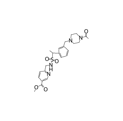 COC(=O)c1ccc(CNS(=O)(=O)C(C)c2cccc(CN3CCN(C(C)=O)CC3)c2)nc1